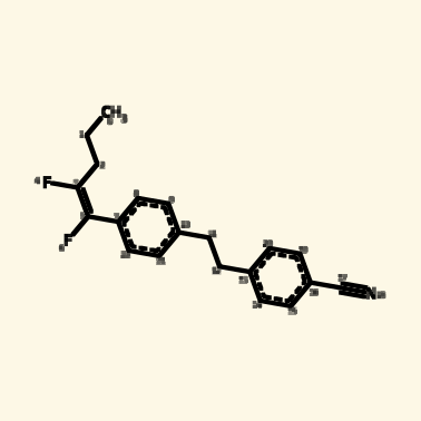 CCC/C(F)=C(/F)c1ccc(CCc2ccc(C#N)cc2)cc1